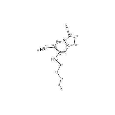 CCCCCNc1cc2c(cc1C#N)C(=O)CC2